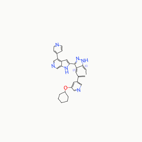 C=C(/C=c1/c(-c2cc3c(-c4ccncc4)cncc3[nH]2)n[nH]/c1=C/C)c1cncc(OC2CCCCC2)c1